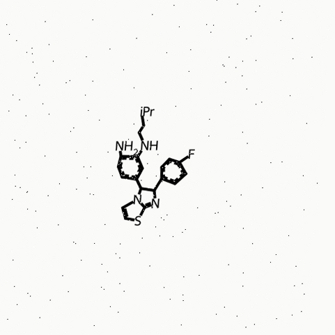 CC(C)CCNc1cc(C2C(c3ccc(F)cc3)N=C3SC=CN32)ccc1N